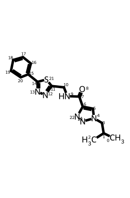 CC(C)Cn1cc(C(=O)NCc2nnc(-c3ccccc3)s2)nn1